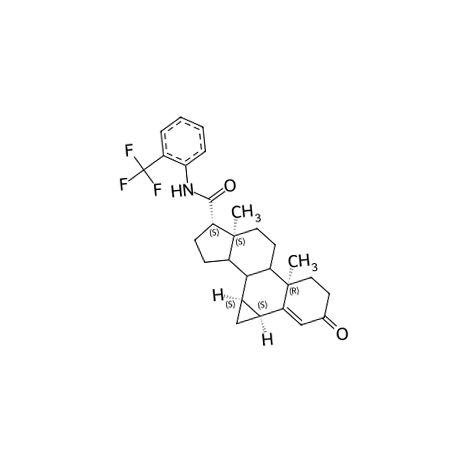 C[C@]12CCC(=O)C=C1[C@H]1C[C@H]1C1C2CC[C@@]2(C)C1CC[C@@H]2C(=O)Nc1ccccc1C(F)(F)F